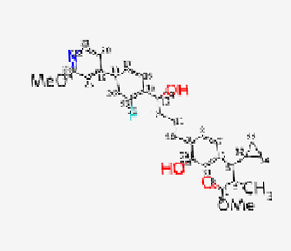 COC(=O)C(C)C(c1ccc(CCCC(O)c2ccc(-c3ccnc(OC)c3)cc2F)c(O)c1)C1CC1